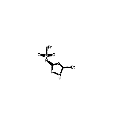 CCCS(=O)(=O)N=C1[N]NC(CC)S1